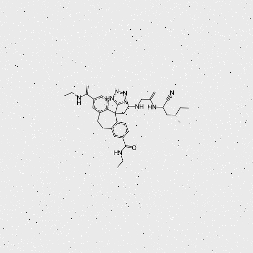 C=C(CN[C@H](C)CC1(c2nnn[nH]2)c2ccc(C(=C)NCC)cc2CCc2cc(C(=O)NCC)ccc21)NC(C#N)C[C@@H](C)CC